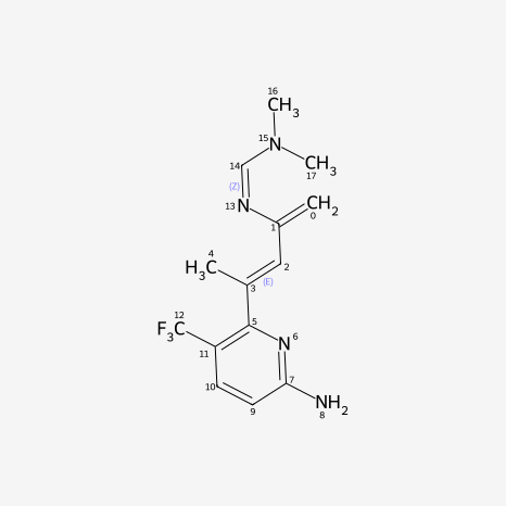 C=C(/C=C(\C)c1nc(N)ccc1C(F)(F)F)/N=C\N(C)C